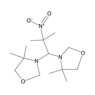 CC1(C)COCN1C(N1COCC1(C)C)C(C)(C)[N+](=O)[O-]